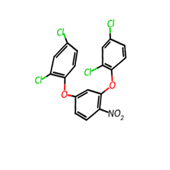 O=[N+]([O-])c1ccc(Oc2ccc(Cl)cc2Cl)cc1Oc1ccc(Cl)cc1Cl